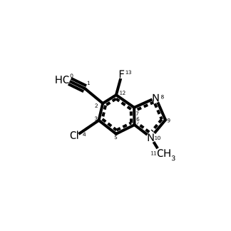 C#Cc1c(Cl)cc2c(ncn2C)c1F